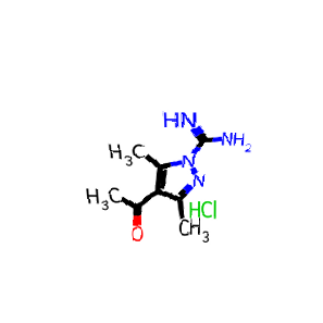 CC(=O)c1c(C)nn(C(=N)N)c1C.Cl